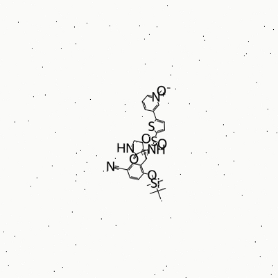 CC(C)(C)[Si](C)(C)Oc1ccc(C#N)cc1C[C@]1(NS(=O)(=O)c2ccc(-c3ccc[n+]([O-])c3)s2)CCNC1=O